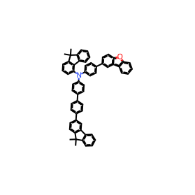 CC1(C)c2ccccc2-c2cc(-c3ccc(-c4ccc(N(c5ccc(-c6ccc7oc8ccccc8c7c6)cc5)c5cccc6c5-c5ccccc5C6(C)C)cc4)cc3)ccc21